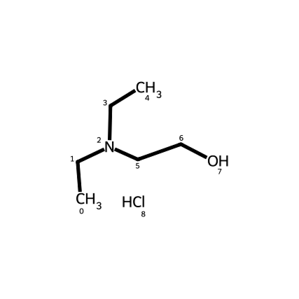 CCN(CC)CCO.Cl